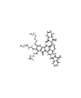 CCCCSc1cc2c(c(SCCCC)c1SCCCC)C(=O)N(c1ccc(CN3C(=O)c4ccccc4C3=O)c3ccc(C4C(=O)c5ccccc5C4=O)nc13)C2=O